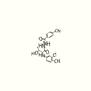 C[C@H](O)C(Nc1ccc(C#N)c(Cl)c1)C(=O)NNC(=O)c1ccc(C#N)cc1